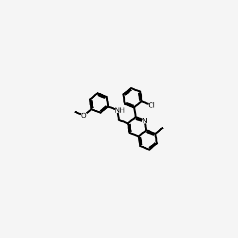 COc1cccc(NCc2cc3cccc(C)c3nc2-c2ccccc2Cl)c1